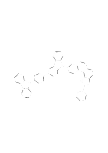 C1=CCC(C2Nc3c(ccc4ccc5cc(-n6c7ccccc7c7cc(-c8ccc(-n9c%10ccccc%10c%10ccccc%109)cc8)ccc76)ccc5c34)S2)C=C1